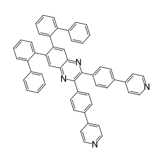 c1ccc(-c2ccccc2-c2cc3nc(-c4ccc(-c5ccncc5)cc4)c(-c4ccc(-c5ccncc5)cc4)nc3cc2-c2ccccc2-c2ccccc2)cc1